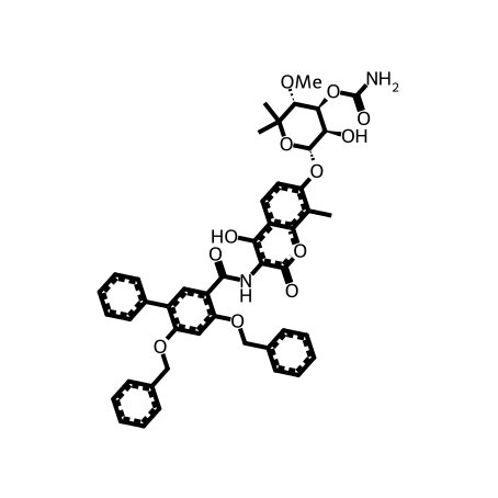 CO[C@@H]1[C@@H](OC(N)=O)[C@@H](O)[C@H](Oc2ccc3c(O)c(NC(=O)c4cc(-c5ccccc5)c(OCc5ccccc5)cc4OCc4ccccc4)c(=O)oc3c2C)OC1(C)C